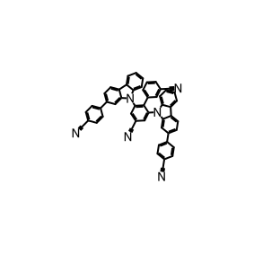 N#Cc1ccc(-c2ccc3c4ccccc4n(-c4cc(C#N)cc(-n5c6ccccc6c6ccc(-c7ccc(C#N)cc7)cc65)c4-c4cccc(C#N)c4)c3c2)cc1